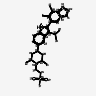 Cc1c(-c2[nH]c3ccc(C4CC(C)N(CCS(C)(=O)=O)C(C)C4)cc3c2C(C)C)cn2cnnc2c1C